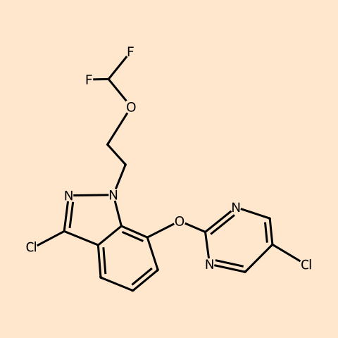 FC(F)OCCn1nc(Cl)c2cccc(Oc3ncc(Cl)cn3)c21